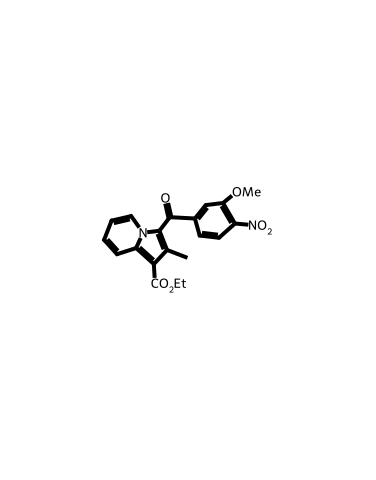 CCOC(=O)c1c(C)c(C(=O)c2ccc([N+](=O)[O-])c(OC)c2)n2ccccc12